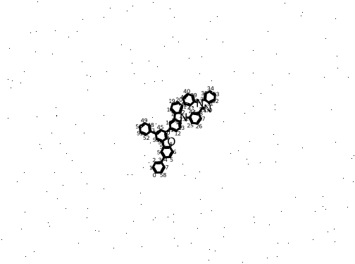 c1ccc(-c2ccc3oc4c(-c5ccc6c(c5)c5ccccc5n6-c5cccc(-c6nc7ccccc7n6-c6ccccc6)c5)cc(-c5ccccc5)cc4c3c2)cc1